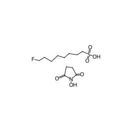 O=C1CCC(=O)N1O.O=S(=O)(O)CCCCCCCCF